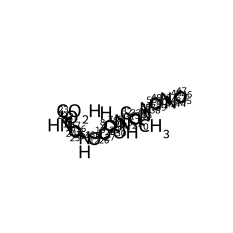 Cc1cc(N=Nc2ccc3cc(OCNc4ccc(NC(=O)CC(=O)O)cc4)ccc3c2O)c(C)cc1N=Nc1ccc(N=Nc2ccccc2)cc1